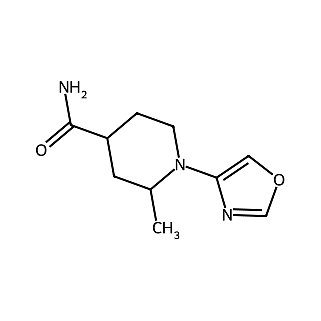 CC1CC(C(N)=O)CCN1c1cocn1